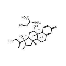 CC(=O)N[C@@H](CS)C(=O)O.C[C@@H]1C[C@H]2[C@@H]3CCC4=CC(=O)C=C[C@]4(C)[C@@]3(F)[C@@H](O)C[C@]2(C)[C@@]1(O)C(=O)CO